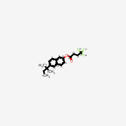 CCC(C)(C)c1ccc2cc(OC(=O)CCC(F)(F)F)ccc2c1